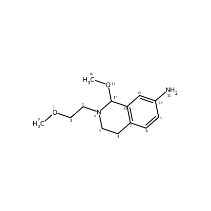 COCCN1CCc2ccc(N)cc2C1OC